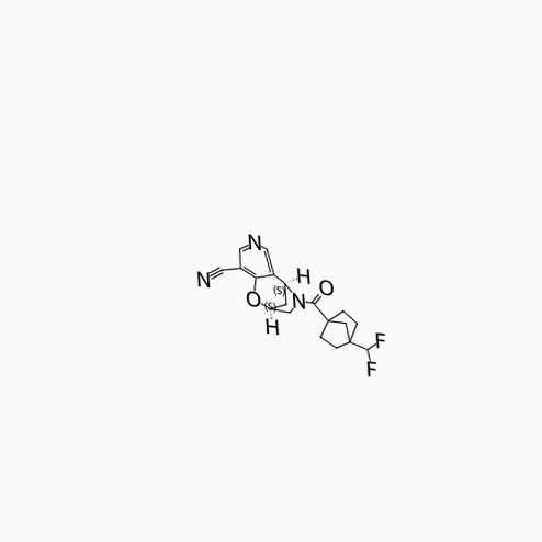 N#Cc1cncc2c1O[C@H]1C[C@@H]2N(C(=O)C23CCC(C(F)F)(CC2)C3)C1